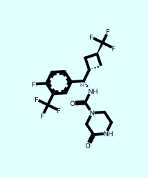 O=C1CN(C(=O)N[C@H](c2ccc(F)c(C(F)(F)F)c2)[C@H]2C[C@H](C(F)(F)F)C2)CCN1